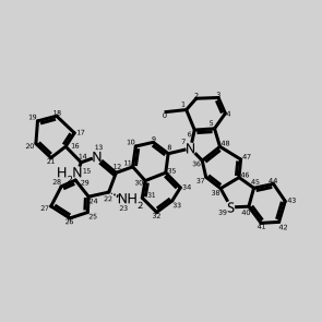 CC1CC=Cc2c1n(-c1ccc(/C(=N/C(N)c3ccccc3)[C@H](N)c3ccccc3)c3ccccc13)c1cc3sc4ccccc4c3cc21